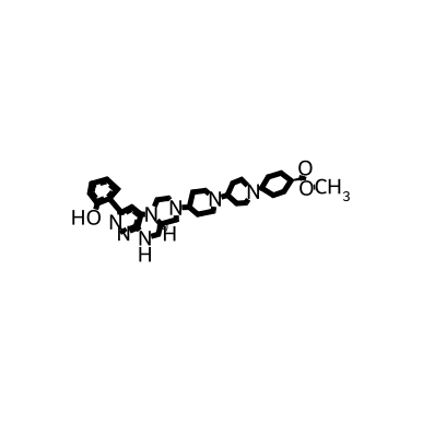 COC(=O)[C@H]1CC[C@@H](N2CCC(N3CCC(N4CCN5c6cc(-c7ccccc7O)nnc6NC[C@H]5C4)CC3)CC2)CC1